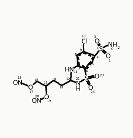 NS(=O)(=O)c1cc2c(cc1Cl)NC(CCC(CON=O)ON=O)NS2(=O)=O